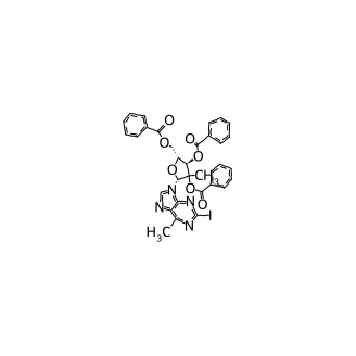 Cc1nc(I)nc2c1ncn2[C@@H]1O[C@H](COC(=O)c2ccccc2)[C@@H](OC(=O)c2ccccc2)C1(C)OC(=O)c1ccccc1